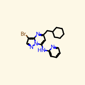 Brc1cnn2c(Nc3ccccn3)cc(CC3CCCCC3)nc12